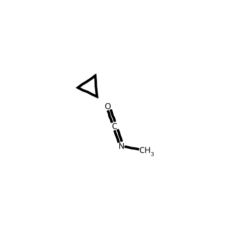 C1CC1.CN=C=O